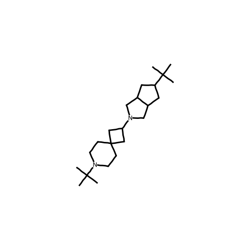 CC(C)(C)C1CC2CN(C3CC4(CCN(C(C)(C)C)CC4)C3)CC2C1